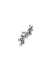 O=C(NC[C@@H](O)CCNC(=O)[C@H]1CC(=O)c2cc(Cl)ccc2O1)c1cnc(C(F)F)cn1